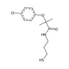 CC(C)(Oc1ccc(Cl)cc1)C(=O)NCCCS